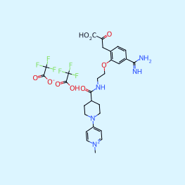 C[n+]1ccc(N2CCC(C(=O)NCCOc3cc(C(=N)N)ccc3CC(=O)C(=O)O)CC2)cc1.O=C(O)C(F)(F)F.O=C([O-])C(F)(F)F